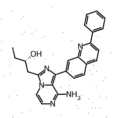 CC[C@H](O)Cc1nc(-c2ccc3ccc(-c4ccccc4)nc3c2)c2c(N)nccn12